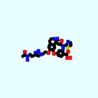 CC(=O)NCCc1cn(CCOc2cc3c(cc2Oc2ccc(C(=O)O)c(F)c2)[C@@](C)(CC(=O)Nc2nccs2)NCC3)nn1